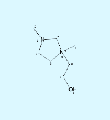 CN1CC[N+](C)(CCO)C1